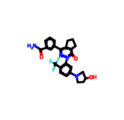 NC(=O)c1cccc(-c2nn(-c3cc(N4CCC(O)C4)ccc3C(F)(F)F)c(=O)c3c2CCC3)c1